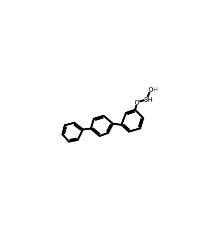 OBOc1cccc(-c2ccc(-c3ccccc3)cc2)c1